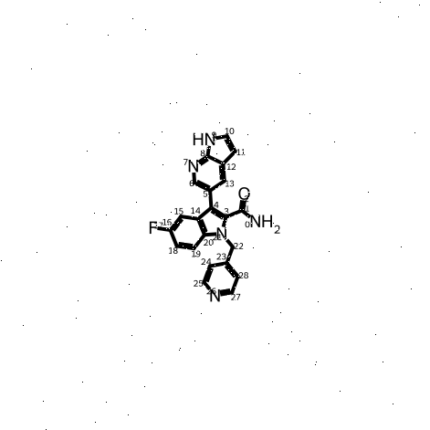 NC(=O)c1c(-c2cnc3[nH]ccc3c2)c2cc(F)ccc2n1Cc1ccncc1